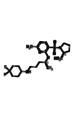 Cc1ccc(S(=O)(=O)N2CCC[C@H]2C(=O)O)c(O[C@@H](C)CCCNC2CCC(F)(F)CC2)n1